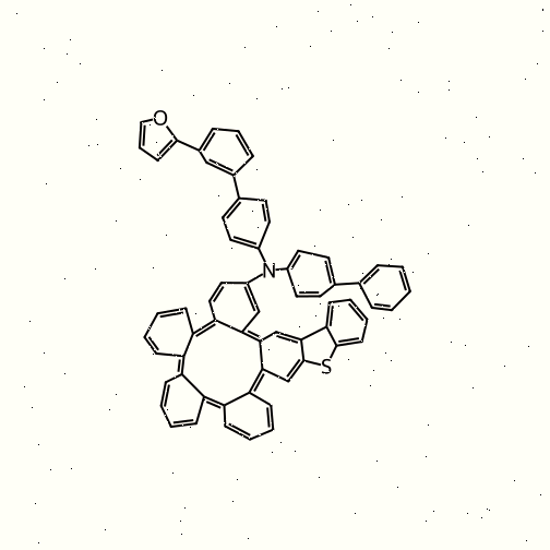 c1ccc(-c2ccc(N(c3ccc(-c4cccc(-c5ccco5)c4)cc3)c3ccc4c5ccccc5c5ccccc5c5ccccc5c5cc6sc7ccccc7c6cc5c4c3)cc2)cc1